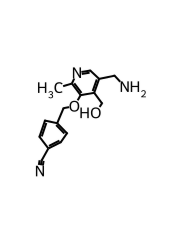 Cc1ncc(CN)c(CO)c1OCc1ccc(C#N)cc1